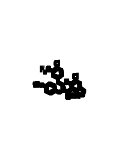 CC(C)(C)c1ccc(CN(CCc2ccc(Cl)c(C(F)(F)F)c2)C(=O)c2c(F)c(Cl)cc3cc[nH]c23)cc1